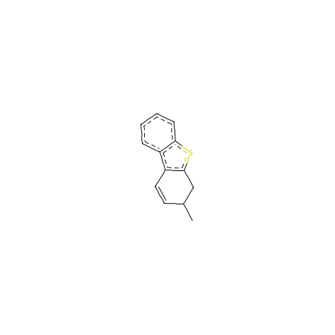 CC1C=Cc2c(sc3ccccc23)C1